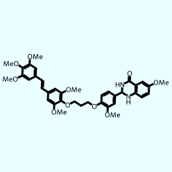 COc1ccc2c(c1)C(=O)NC(c1ccc(OCCCOc3c(OC)cc(C=Cc4cc(OC)c(OC)c(OC)c4)cc3OC)c(OC)c1)N2